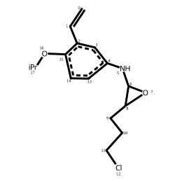 C=Cc1cc(NC2OC2CCCCl)ccc1OC(C)C